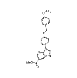 COC(=O)c1cnc2c(c1)ncn2-c1ccc(OCc2ccc(OC(F)(F)F)cc2)cc1